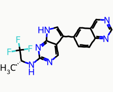 C[C@@H](Nc1ncc2c(-c3ccc4ncncc4c3)c[nH]c2n1)C(F)(F)F